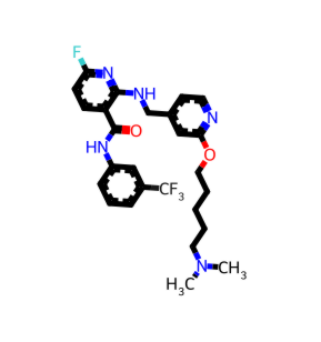 CN(C)CCCCCOc1cc(CNc2nc(F)ccc2C(=O)Nc2cccc(C(F)(F)F)c2)ccn1